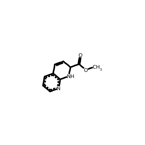 COC(=O)C1C=Cc2cccnc2N1